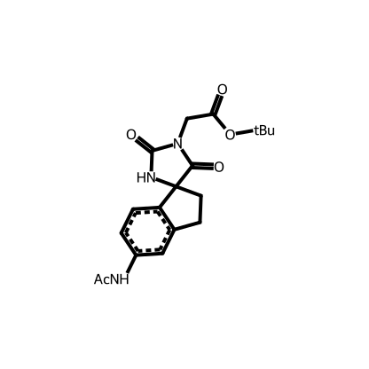 CC(=O)Nc1ccc2c(c1)CCC21NC(=O)N(CC(=O)OC(C)(C)C)C1=O